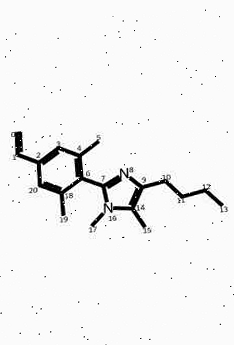 C=Cc1cc(C)c(-c2nc(CCCC)c(C)n2C)c(C)c1